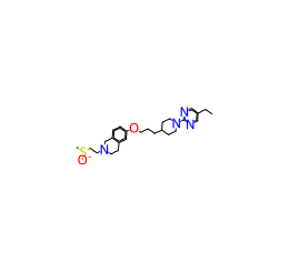 CCc1cnc(N2CCC(CCCOc3ccc4c(c3)CCN(CC[S+](C)[O-])C4)CC2)nc1